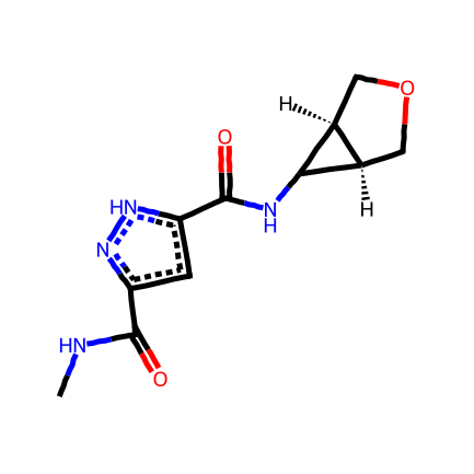 CNC(=O)c1cc(C(=O)NC2[C@H]3COC[C@@H]23)[nH]n1